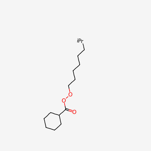 CC(C)CCCCCCOOC(=O)C1CCCCC1